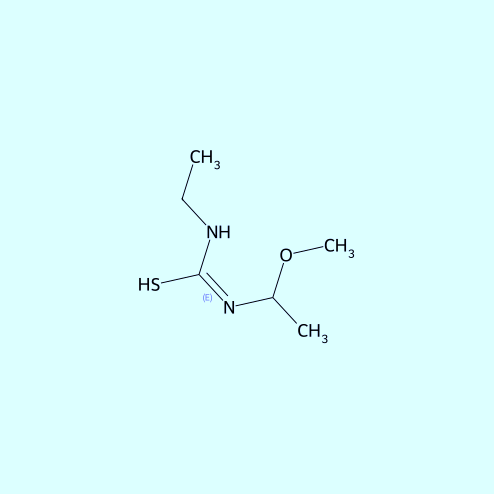 CCN/C(S)=N\C(C)OC